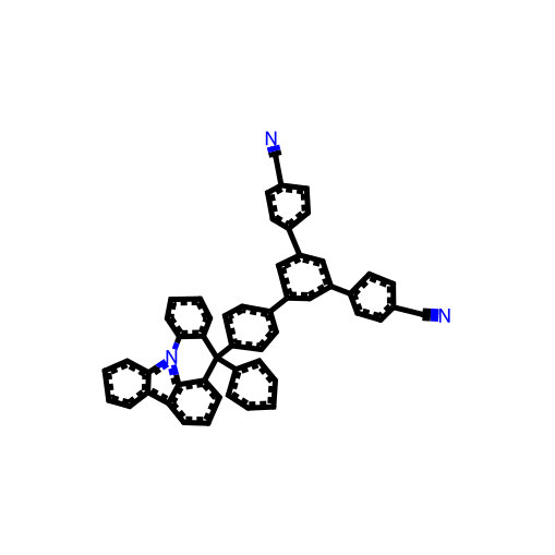 N#Cc1ccc(-c2cc(-c3ccc(C#N)cc3)cc(-c3ccc(C4(c5ccccc5)c5ccccc5-n5c6ccccc6c6cccc4c65)cc3)c2)cc1